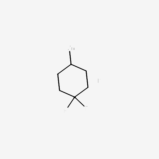 FC1(F)CC[CH]([Zn+])CC1.[I-]